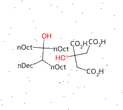 CCCCCCCCCCC(CCCCCCCC)C(O)(CCCCCCCC)CCCCCCCC.O=C(O)CC(O)(CC(=O)O)C(=O)O